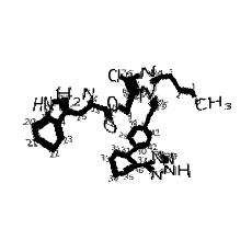 CCCCc1nc(Cl)c(COC(=O)C(N)Cc2c[nH]c3ccccc23)n1Cc1ccc(-c2ccccc2-c2nn[nH]n2)cc1